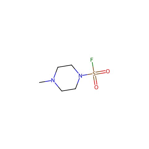 CN1CCN(S(=O)(=O)F)CC1